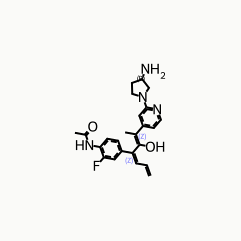 C=C/C=C(\C(O)=C(/C)c1ccnc(N2CC[C@@H](N)C2)c1)c1ccc(NC(C)=O)c(F)c1